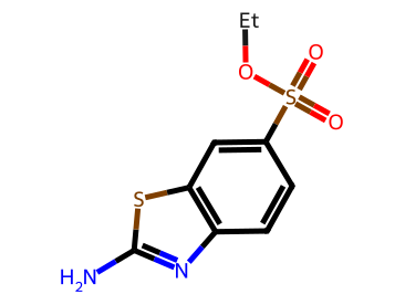 CCOS(=O)(=O)c1ccc2nc(N)sc2c1